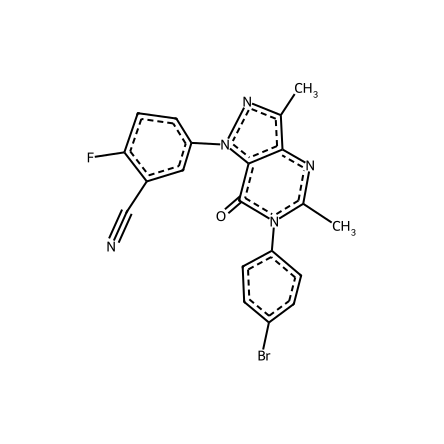 Cc1nn(-c2ccc(F)c(C#N)c2)c2c(=O)n(-c3ccc(Br)cc3)c(C)nc12